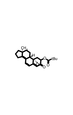 CC(C)(C)C(=O)OC1C[C@@]2(CO)C(=CC1=O)C=CC1=C3CCC[C@@]3(C)CC[C@@H]12